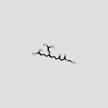 CCOC(=O)CC(=O)CC/C=C(\CC=C(C)C)CCC=C(C)C